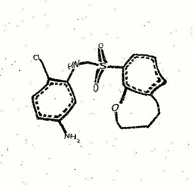 Nc1ccc(Cl)c(NS(=O)(=O)c2cccc3c2OCCC3)c1